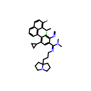 C=Nc1c(/C(=N\CCCC23CCCN2CCC3)N(C)C)cc(C2CC2)c(-c2cccc3ccc(F)c(CC)c23)c1F